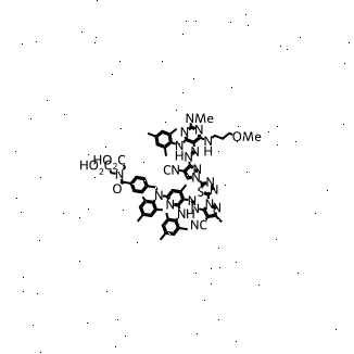 [C-]#[N+]c1cn(-c2nnc(-n3nc(C)c(C#N)c3N=Nc3c(C)cc(N(Cc4ccc(C(=O)N(CC(=O)O)CC(=O)O)cc4)c4c(C)cc(C)cc4C)nc3Nc3c(C)cc(C)cc3C)s2)nc1N=Nc1c(NCCCOC)nc(NC)nc1Nc1c(C)cc(C)cc1C